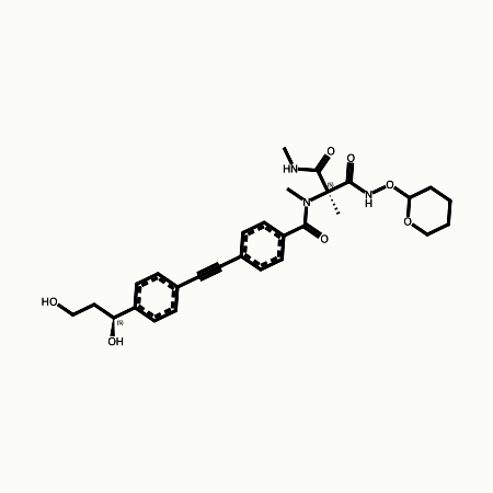 CNC(=O)[C@@](C)(C(=O)NOC1CCCCO1)N(C)C(=O)c1ccc(C#Cc2ccc([C@@H](O)CCO)cc2)cc1